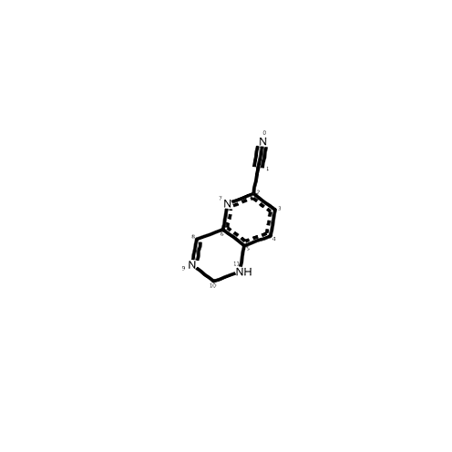 N#Cc1ccc2c(n1)C=NCN2